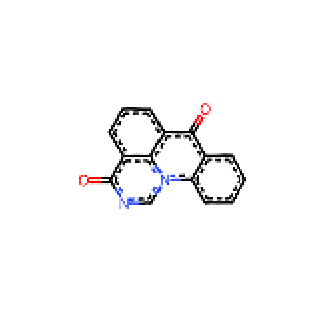 O=c1ncn2c3ccccc3c(=O)c3cccc1c32